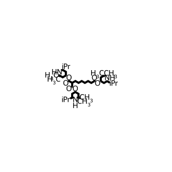 CC(C)C1CC(OC(=O)CCCCCCC(C(=O)OC2CC(C(C)C)NC(C)(C)C2)C(=O)OC2CC(C(C)C)NC(C)(C)C2)CC(C)(C)N1